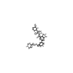 C[C@H](C(=O)Nc1cccc(F)c1)N(C)c1nc(-c2cc(OCCOC3CCCCO3)ccn2)nc2c1CCC2